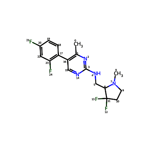 Cc1nc(NCC2N(C)CCC2(F)F)ncc1-c1ccc(F)cc1F